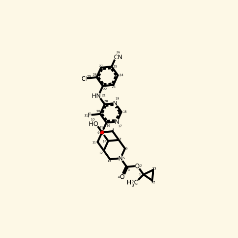 CC1(OC(=O)N2CC3CC(O)CC(C2)C3Oc2ncnc(Nc3ccc(C#N)cc3Cl)c2F)CC1